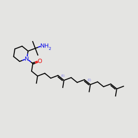 CC(C)=CCC/C(C)=C/CC/C(C)=C/CCC(C)CC(=O)N1CCCCC1C(C)(C)N